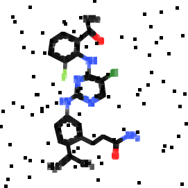 C=C(C)c1ccc(Nc2ncc(Cl)c(Nc3c(F)cccc3C(=O)NC)n2)cc1CCC(N)=O